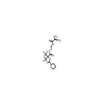 C=C(C)C(=O)OCCOC(=O)C(OC(=O)C1CCCC1)(C(F)(F)F)C(F)(F)F